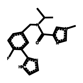 CC(C)N(Cc1ccc(F)c(-c2ncc[nH]2)c1)C(=O)c1cn(C)cn1